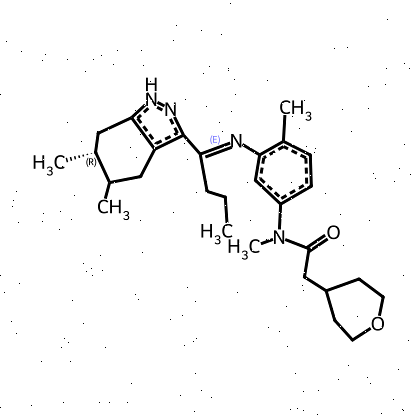 CCC/C(=N\c1cc(N(C)C(=O)CC2CCOCC2)ccc1C)c1n[nH]c2c1CC(C)[C@H](C)C2